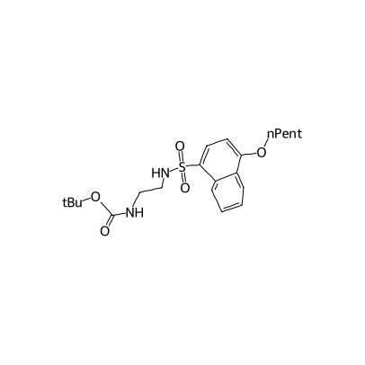 CCCCCOc1ccc(S(=O)(=O)NCCNC(=O)OC(C)(C)C)c2ccccc12